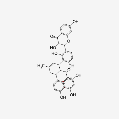 CC1=CC(c2c(O)ccc(C3Oc4cc(O)ccc4C(=O)C3O)c2O)C(C(=O)c2ccc(O)cc2O)C(c2ccc(O)cc2O)C1